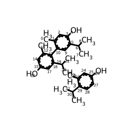 Cc1cc(O)c(C(C)C)cc1-c1c(C)cc(O)cc1C(C)C.Cc1cc(O)ccc1C(C)C